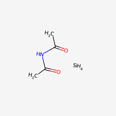 CC(=O)NC(C)=O.[SiH4]